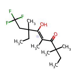 CCC(C)(C)C(=O)/C(C)=C(\O)C(C)(CC)CC(F)(F)F